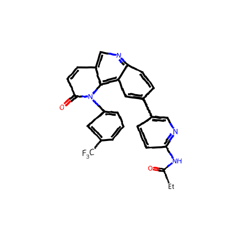 CCC(=O)Nc1ccc(-c2ccc3ncc4ccc(=O)n(-c5cccc(C(F)(F)F)c5)c4c3c2)cn1